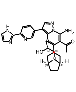 CC(=O)c1c([C@H]2C[C@H]3CC[C@@H](C2)N3C[C@H](C)O)nc2c(-c3ccc(-c4ncc[nH]4)nc3)cnn2c1N